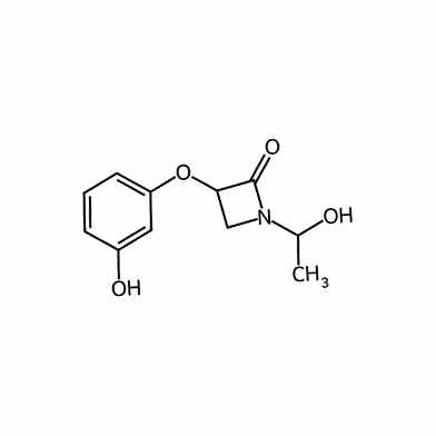 CC(O)N1CC(Oc2cccc(O)c2)C1=O